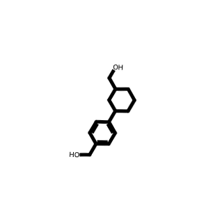 OCc1ccc(C2CCCC(CO)C2)cc1